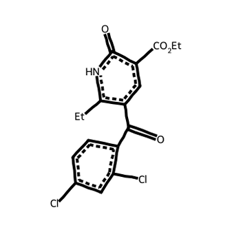 CCOC(=O)c1cc(C(=O)c2ccc(Cl)cc2Cl)c(CC)[nH]c1=O